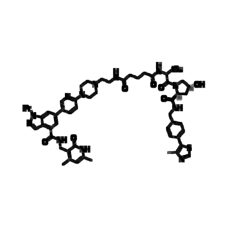 Cc1cc(C)c(CNC(=O)c2cc(-c3ccc(N4CCN(CCNC(=O)CCCC(=O)NC(C(=O)N5C[C@H](O)C[C@H]5C(=O)NCc5ccc(-c6scnc6C)cc5)C(C)(C)C)CC4)nc3)cc3c2cnn3C(C)C)c(=O)[nH]1